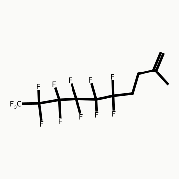 C=C(C)CCC(F)(F)C(F)(F)C(F)(F)C(F)(F)C(F)(F)C(F)(F)F